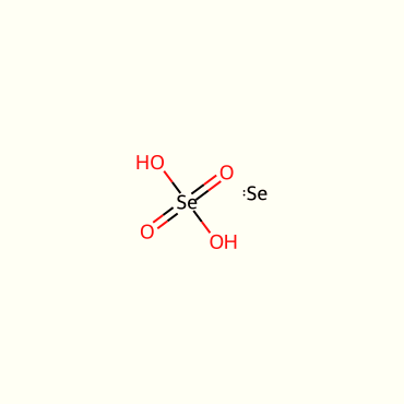 O=[Se](=O)(O)O.[Se]